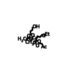 C=C(C)C(=O)OC(=O)CCCO.CCOCCC=C(C)C(=O)OC(=O)CC(C)=O